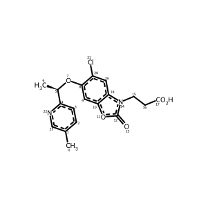 Cc1ccc([C@@H](C)Oc2cc3oc(=O)n(CCC(=O)O)c3cc2Cl)nc1